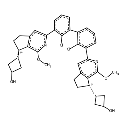 COc1nc(-c2cccc(-c3cccc(-c4cc5c(c(OC)n4)[C@@H](N4CC(O)C4)CC5)c3Cl)c2Cl)cc2c1[C@H](N1CC(O)C1)CC2